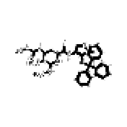 Cn1ncc(NC(=O)[C@H](CCNC(=O)OC(C)(C)C)NC(NC(=O)O)NC(=O)O)c1NC(c1ccccc1)(c1ccccc1)c1ccccc1